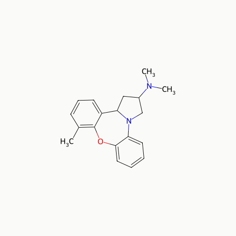 Cc1cccc2c1Oc1ccccc1N1CC(N(C)C)CC21